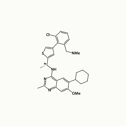 CNCc1cccc(Cl)c1-c1csc([C@@H](C)Nc2nc(C)nc3cc(OC)c(C4CCCCC4)cc23)c1